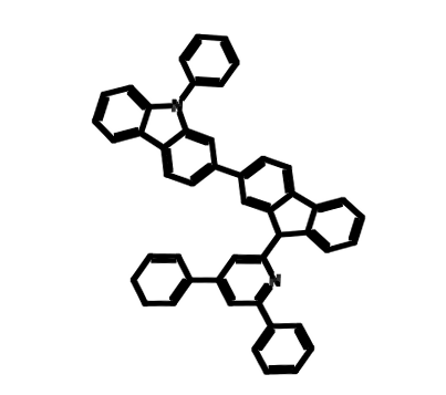 C1=CC(c2cc(-c3ccccc3)nc(C3c4ccccc4-c4ccc(-c5ccc6c7ccccc7n(-c7ccccc7)c6c5)cc43)c2)=CCC1